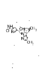 Cc1cnc2c(c1)c1c(n2CC(O)c2ccc(C(N)=O)nc2)CCN(C)C1